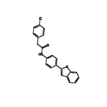 O=C(Cc1ccc(Cl)cc1)Nc1ccc(-c2cc3ccccc3o2)cc1